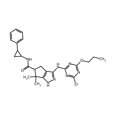 CCCOc1nc(Cl)nc(Nc2n[nH]c3c2CN(C(=O)NC2CC2c2ccccc2)C3(C)C)n1